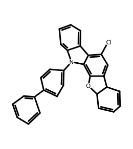 Clc1cc2c(c3c1c1ccccc1n3-c1ccc(-c3ccccc3)cc1)OC1C=CC=CC21